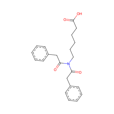 O=C(O)CCCCCN(C(=O)Cc1ccccc1)C(=O)Cc1ccccc1